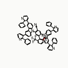 N#Cc1cc(-n2c3ccc(-c4cccnc4-c4ccccc4)cc3c3cc(-c4cccnc4-c4ccccc4)ccc32)c(-c2c(C(F)(F)F)cccc2C(F)(F)F)cc1-n1c2ccc(-c3cccnc3-c3ccccc3)cc2c2cc(-c3cccnc3-c3ccccc3)ccc21